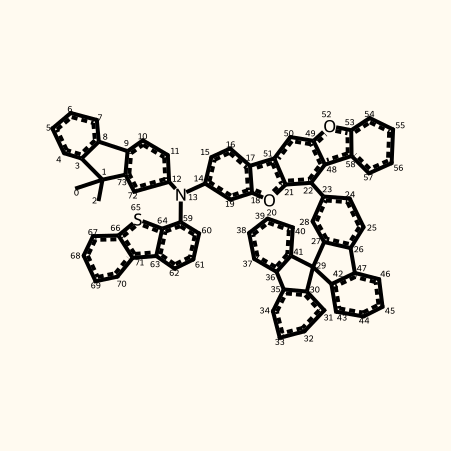 CC1(C)c2ccccc2-c2ccc(N(c3ccc4c(c3)oc3c(-c5ccc6c(c5)C5(c7ccccc7-c7ccccc75)c5ccccc5-6)c5c(cc34)oc3ccccc35)c3cccc4c3sc3ccccc34)cc21